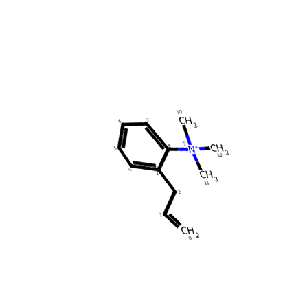 C=CCc1ccccc1[N+](C)(C)C